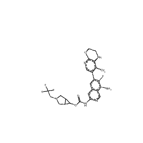 Cc1c(-c2cc3cc(NC(=O)OC4C5CN(CC(F)(F)F)CC54)ncc3c(N)c2F)cnc2c1NCCO2